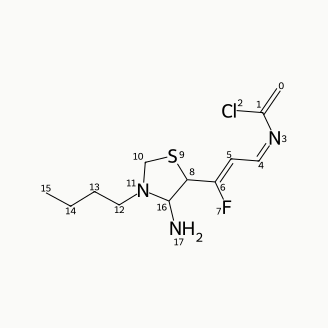 C=C(Cl)/N=C\C=C(/F)C1SCN(CCCC)C1N